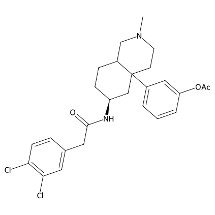 CC(=O)Oc1cccc(C23CCN(C)CC2CC[C@H](NC(=O)Cc2ccc(Cl)c(Cl)c2)C3)c1